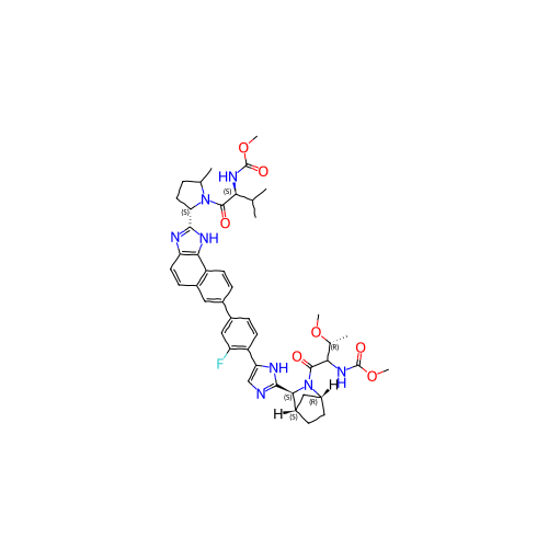 COC(=O)NC(C(=O)N1[C@@H]2CC[C@@H](C2)[C@H]1c1ncc(-c2ccc(-c3ccc4c(ccc5nc([C@@H]6CCC(C)N6C(=O)[C@@H](NC(=O)OC)C(C)C)[nH]c54)c3)cc2F)[nH]1)[C@@H](C)OC